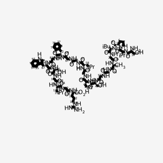 CC[C@H](C)[C@H](NC(=O)[C@@H]1CCCN1C(=O)[C@@H](NC(=O)[C@@H](N)CO)C(C)C)C(=O)NCC(=O)N[C@@H](C)C(=O)NCC(=O)NCC(=O)N[C@@H](CO)C(=O)N[C@@H](CC(C)C)C(=O)NCC(=O)N[C@@H](CC(C)C)C(=O)NCC(=O)NCC(=O)N[C@@H](Cc1ccccc1)C(=O)NCC(=O)N[C@@H](Cc1c[nH]c2ccccc12)C(=O)N[C@@H](CO)C(=O)NCC(=O)N[C@@H](CC(C)C)C(=O)NCC(=O)N[C@@H](CCCNC(=N)N)C(=O)O